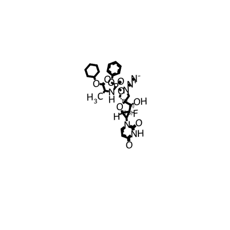 CC(NP(=O)(OC[C@@]1(CN=[N+]=[N-])O[C@H]2C(n3ccc(=O)[nH]c3=O)[C@]2(F)[C@@H]1O)Oc1ccccc1)C(=O)OC1CCCCC1